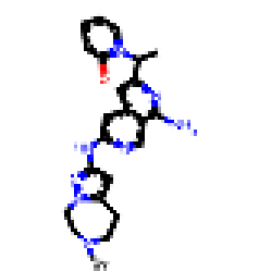 CC(C)N1CCc2cc(Nc3cc4cc(C(C)n5ccccc5=O)nc(N)c4cn3)nn2CC1